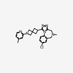 Cc1ccnc(N2CC3(CC(c4nnc5n4-c4ccc(Cl)cc4CN(C)C5)C3)C2)c1